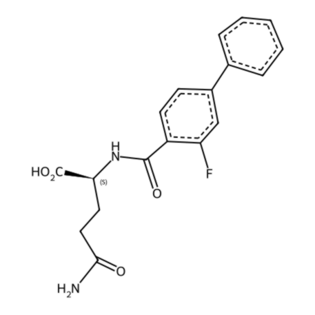 NC(=O)CC[C@H](NC(=O)c1ccc(-c2ccccc2)cc1F)C(=O)O